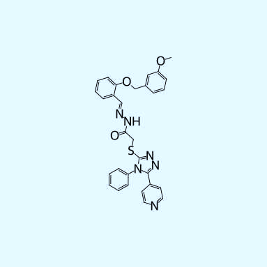 COc1cccc(COc2ccccc2/C=N/NC(=O)CSc2nnc(-c3ccncc3)n2-c2ccccc2)c1